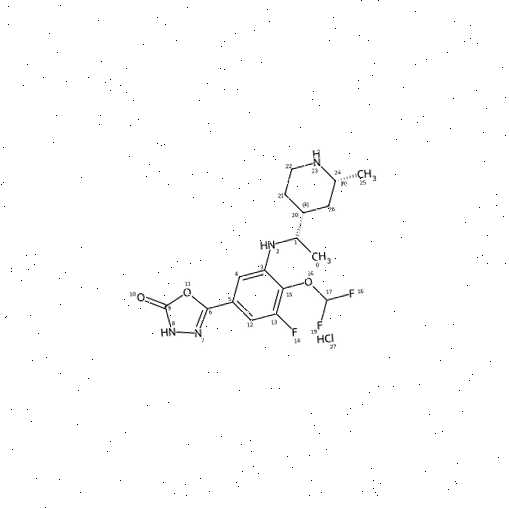 CC(Nc1cc(-c2n[nH]c(=O)o2)cc(F)c1OC(F)F)[C@@H]1CCN[C@H](C)C1.Cl